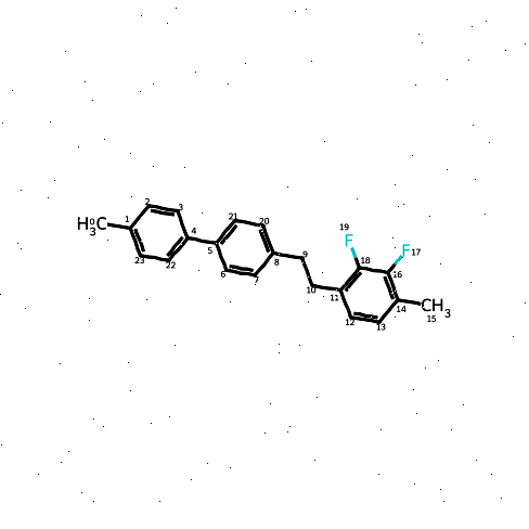 Cc1ccc(-c2ccc(CCc3ccc(C)c(F)c3F)cc2)cc1